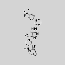 CO[C@H]1COCC[C@H]1NC1CCN(C(=O)c2ncnc(NC[C@H]3CCC[C@@H](c4ccc(C(F)(F)F)cc4)O3)c2C)CC1